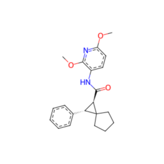 COc1ccc(NC(=O)[C@@H]2[C@@H](c3ccccc3)C23CCCC3)c(OC)n1